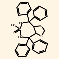 OP1(=S)NC(c2ccccc2)(c2ccccc2)C2OCOC2C(c2ccccc2)(c2ccccc2)N1